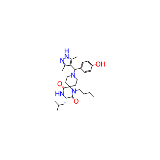 CCCCN1C(=O)[C@H](CC(C)C)NC(=O)C12CCN(C(c1ccc(O)cc1)c1c(C)n[nH]c1C)CC2